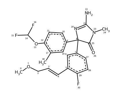 COCC=Cc1cc(C2(c3ccc(OC(F)F)c(C)c3)N=C(N)N(C)C2=O)ccc1F